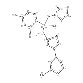 C[C@@H](n1cc(-c2cccc([N+](=O)[O-])c2)cn1)[C@](O)(Cn1cncn1)c1ccc(F)cc1F